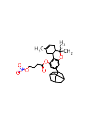 CC1=CCC2C(C1)c1c(OC(=O)CCCO[N+](=O)[O-])cc(C34CC5CC(CC(C5)C3)C4)cc1OC2(C)C